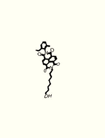 CCc1cccc(C)c1N1C(=O)c2ccc3c4c(ccc(c24)C1=O)C(=O)N(CCCCCCCCO)C3=O